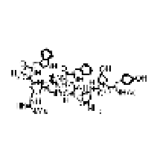 CNC(=N)NCCC[C@H](NC(=O)[C@H](CC(C)C)NC(=O)NNC(=O)[C@H](Cc1ccccc1)NC(=O)[C@@H](NC(=O)[C@H](CC(N)=O)NC(=O)[C@@H]1C[C@@H](O)CN1C(=O)[C@@H](Cc1ccc(O)cc1)NC(C)=O)[C@@H](C)O)C(=O)N[C@@H](Cc1c[nH]c2ccccc12)C(N)=O